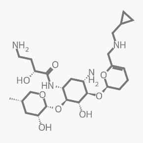 C[C@@H]1CO[C@H](O[C@@H]2[C@@H](O)[C@H](O[C@@H]3CCC=C(CNCC4CC4)O3)[C@@H](N)C[C@H]2NC(=O)[C@H](O)CCN)[C@H](O)C1